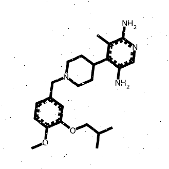 COc1ccc(CN2CCC(c3c(N)cnc(N)c3C)CC2)cc1OCC(C)C